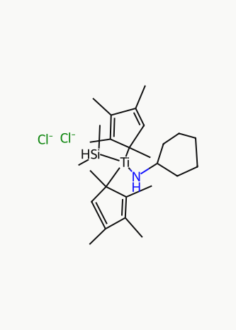 CC1=C[C](C)([Ti]([NH]C2CCCCC2)([SiH](C)C)[C]2(C)C=C(C)C(C)=C2C)C(C)=C1C.[Cl-].[Cl-]